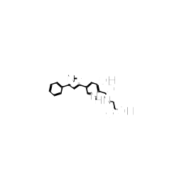 O=C(O)CNC(=O)c1ncc(-c2cc(-c3ccccc3)no2)cc1O